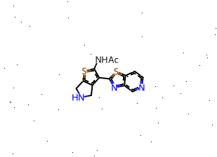 CC(=O)Nc1sc2c(c1-c1nc3cnccc3s1)CNC2